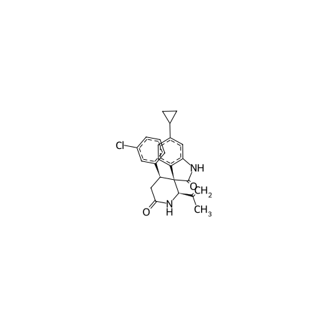 C=C(C)[C@H]1NC(=O)C[C@@H](c2cccc(Cl)c2)[C@]12C(=O)Nc1cc(C3CC3)ccc12